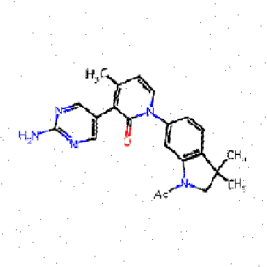 CC(=O)N1CC(C)(C)c2ccc(-n3ccc(C)c(-c4cnc(N)nc4)c3=O)cc21